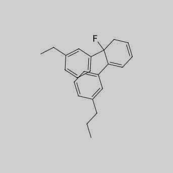 CCCc1cccc(C2=CC=CCC2(F)c2cccc(CC)c2)c1